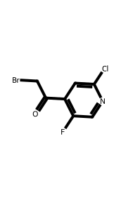 O=C(CBr)c1cc(Cl)ncc1F